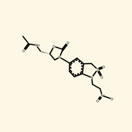 CC(=O)NC[C@H]1CN(c2ccc3c(c2)CS(=O)(=O)N3CC[N+](=O)[O-])C(=O)O1